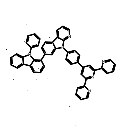 c1ccc(-n2c3ccccc3c3cccc(-c4ccc5c6cccnc6n(-c6ccc(-c7cc(-c8ccccn8)nc(-c8ccccn8)c7)cc6)c5c4)c32)cc1